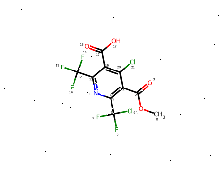 COC(=O)c1c(C(F)(F)Cl)nc(C(F)(F)F)c(C(=O)O)c1Cl